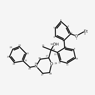 CCOc1ccccc1-c1ccccc1C(C)(O)C1CN(Cc2ccccc2)CCO1